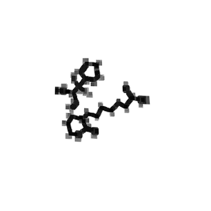 O=C(O)CCCCCCN1C(=O)OCC[C@@H]1/C=C/[C@@H](O)C(F)(F)c1ccccc1